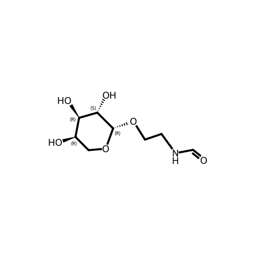 O=CNCCO[C@@H]1OC[C@@H](O)[C@@H](O)[C@@H]1O